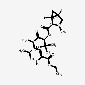 CCOC(=O)/C(C)=C/[C@H](C(C)C)N(C)C(=O)[C@@H](NC(=O)[C@H]1[C@@H]2C[C@@H]2CN1C)C(C)(C)C